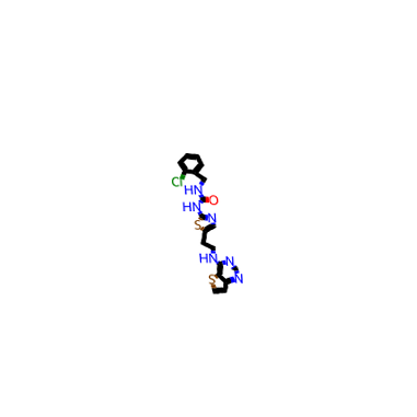 O=C(NCc1ccccc1Cl)Nc1ncc(CCNc2ncnc3ccsc23)s1